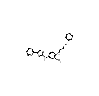 FC(F)(F)c1cc(Nc2nc(-c3cccnc3)cs2)ccc1OCCCOc1ccccc1